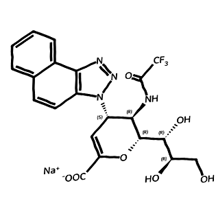 O=C([O-])C1=C[C@H](n2nnc3c4ccccc4ccc32)[C@@H](NC(=O)C(F)(F)F)[C@H]([C@H](O)[C@H](O)CO)O1.[Na+]